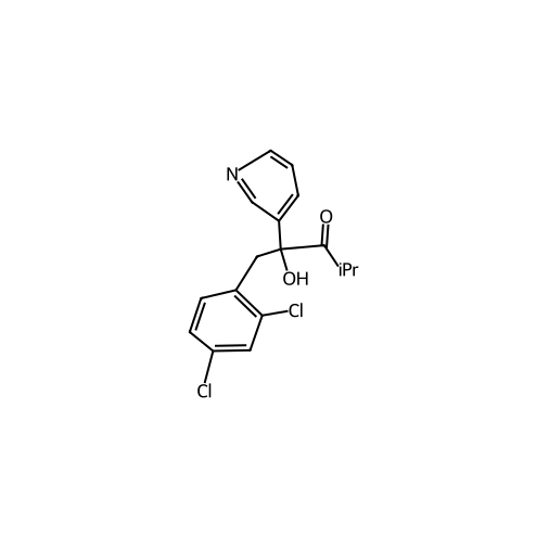 CC(C)C(=O)C(O)(Cc1ccc(Cl)cc1Cl)c1cccnc1